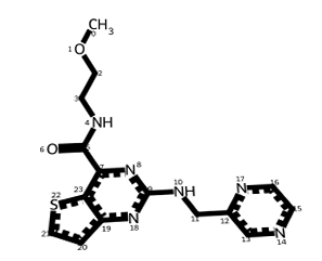 COCCNC(=O)c1nc(NCc2cnccn2)nc2ccsc12